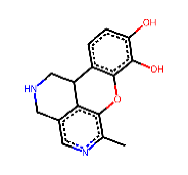 Cc1ncc2c3c1Oc1c(ccc(O)c1O)C3CNC2